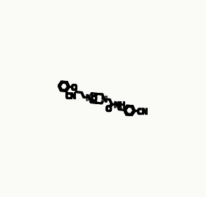 N#Cc1ccc(CNC(=O)CN2CC3CN(CCCOc4ccccc4C#N)CC(C2)O3)cc1